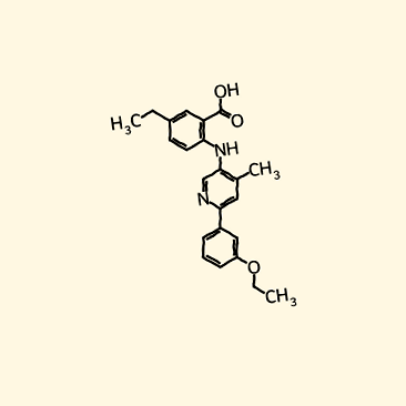 CCOc1cccc(-c2cc(C)c(Nc3ccc(CC)cc3C(=O)O)cn2)c1